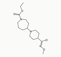 CCOC(=O)N1CCCC(N2CCC(C(Cl)=NOC)CC2)CC1